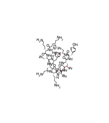 CC[C@H](C)[C@H](NC(=O)[C@H](CCCCN)NC(=O)[C@H](CCCCN)NC(=O)[C@H](Cc1ccccc1)NC(=O)[C@H](CC(C)C)NC(=O)[C@H](CCCCN)NC(=O)[C@@H](N)CCCCN)C(=O)N[C@@H](CC(C)C)C(=O)N[C@@H](CCCCN)C(=O)N[C@@H](Cc1ccc(O)cc1)C(=O)N[C@@H](CC(C)C)C(=O)O